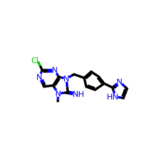 Cn1c(=N)n(Cc2ccc(-c3ncc[nH]3)cc2)c2nc(Cl)ncc21